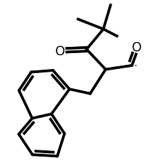 CC(C)(C)C(=O)C([C]=O)Cc1cccc2ccccc12